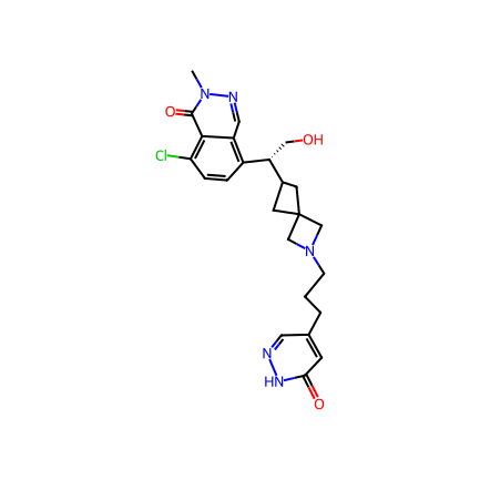 Cn1ncc2c([C@H](CO)C3CC4(C3)CN(CCCc3cn[nH]c(=O)c3)C4)ccc(Cl)c2c1=O